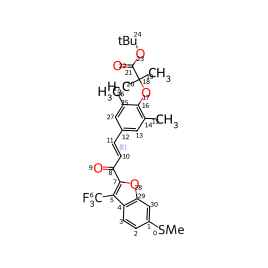 CSc1ccc2c(C(F)(F)F)c(C(=O)/C=C/c3cc(C)c(OC(C)(C)C(=O)OC(C)(C)C)c(C)c3)oc2c1